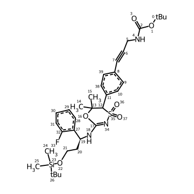 CC(C)(C)OC(=O)NCC#Cc1ccc(C2C(C)(C)OC(N[C@@H](CCO[Si](C)(C)C(C)(C)C)c3ccccc3F)=NS2(=O)=O)cc1